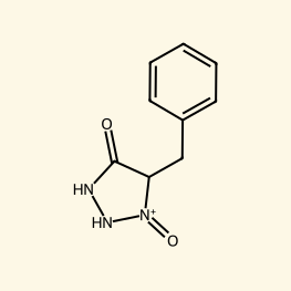 O=C1NN[N+](=O)C1Cc1ccccc1